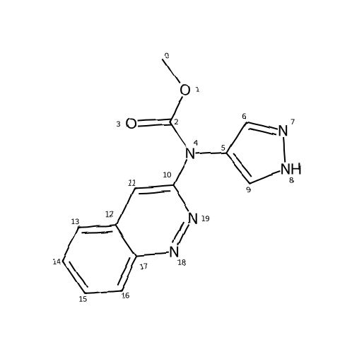 COC(=O)N(c1cn[nH]c1)c1cc2ccccc2nn1